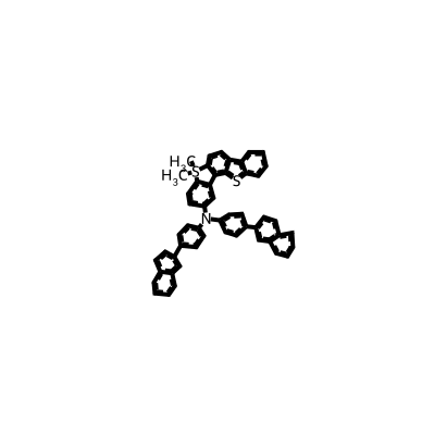 CS1(C)c2ccc(N(c3ccc(-c4ccc5ccccc5c4)cc3)c3ccc(-c4ccc5ccccc5c4)cc3)cc2-c2c1ccc1c2sc2ccccc21